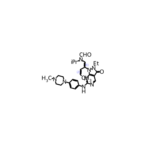 C/C=C\C(=C/N(C=O)C(C)C)n1c2nc(Nc3ccc(N4CCN(C)CC4)cc3)ncc2c(=O)n1CC